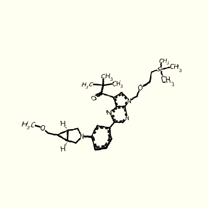 COCC1[C@H]2CN(c3cccc(-c4cnc5c(n4)c(C(=O)C(C)(C)C)cn5COCC[Si](C)(C)C)c3)C[C@@H]12